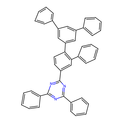 c1ccc(-c2cc(-c3ccccc3)cc(-c3ccc(-c4nc(-c5ccccc5)nc(-c5ccccc5)n4)cc3-c3ccccc3)c2)cc1